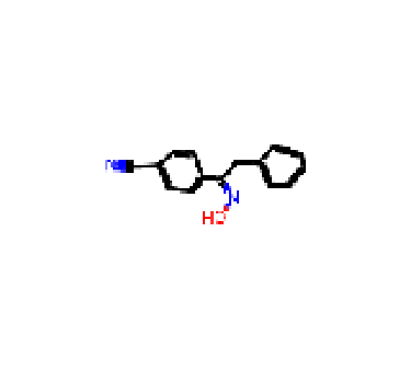 N#Cc1ccc(/C(Cc2ccccc2)=N\O)cc1